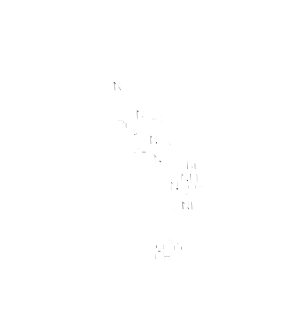 COC(=O)c1ccc2c(c1)NC(=O)N(C1(N)CCN(C(=O)N(c3ccccc3)[C@@H](CBr)C(=O)N3CCC(N4CCCCC4)CC3)CC1Br)C2